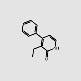 CCc1c(-c2ccccc2)cc[nH]c1=O